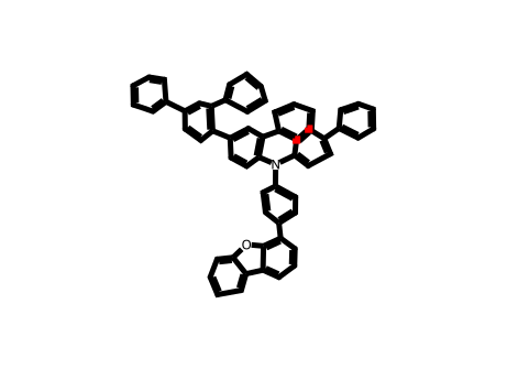 c1ccc(-c2ccc(N(c3ccc(-c4cccc5c4oc4ccccc45)cc3)c3ccc(-c4ccc(-c5ccccc5)cc4-c4ccccc4)cc3-c3ccccc3)cc2)cc1